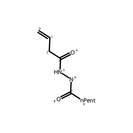 C=CCC(=O)N[N]C(=O)CCCCC